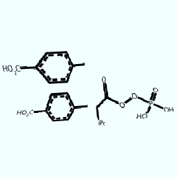 CC(C)CC(=O)OOP(=O)(O)O.Cc1ccc(C(=O)O)cc1.Cc1ccc(C(=O)O)cc1